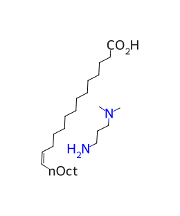 CCCCCCCC/C=C\CCCCCCCCCCCC(=O)O.CN(C)CCCN